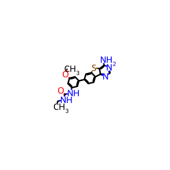 CCNC(=O)Nc1cc(OC)cc(-c2ccc3c(c2)sc2c(N)ncnc23)c1